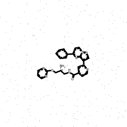 N[C@H](CNC(=O)c1ccnc(-c2cnn3ccc(-c4ccccc4)nc23)c1)COc1ncccn1